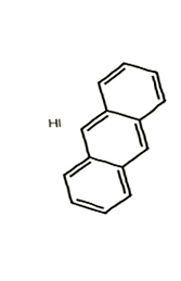 I.c1ccc2cc3ccccc3cc2c1